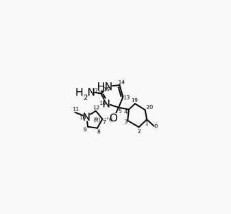 CC1CCC(C2(O[C@@H]3CCN(C)C3)C=CNC(N)=N2)CC1